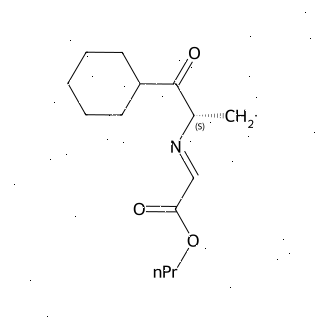 [CH2][C@H](N=CC(=O)OCCC)C(=O)C1CCCCC1